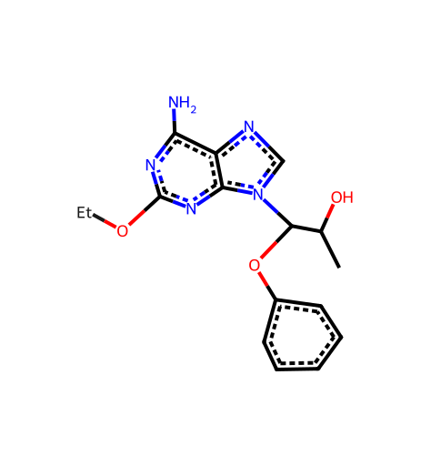 CCOc1nc(N)c2ncn(C(Oc3ccccc3)C(C)O)c2n1